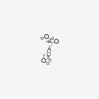 COc1cccc(C(=O)N[C@@H](CCN2CC3CN(C(=O)c4c(F)cccc4Cl)CC3C2)c2ccccc2)c1